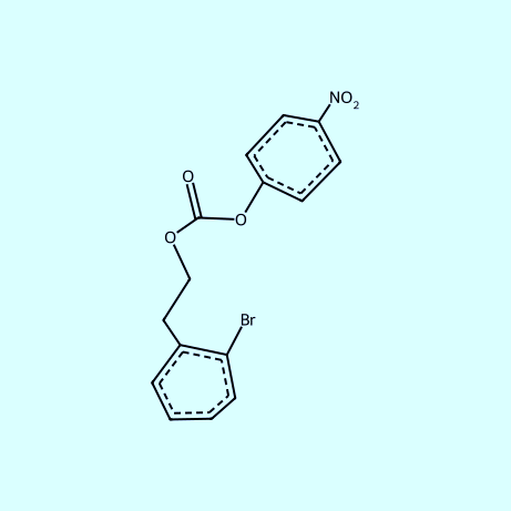 O=C(OCCc1ccccc1Br)Oc1ccc([N+](=O)[O-])cc1